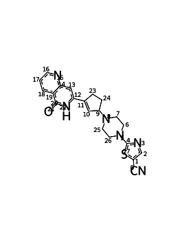 N#Cc1cnc(N2CCN(C3C=C(c4cc5ncccc5c(=O)[nH]4)CC3)CC2)s1